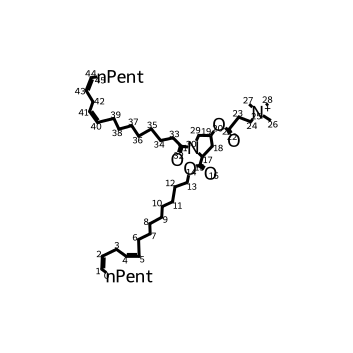 CCCCC/C=C\C/C=C\CCCCCCCCOC(=O)C1CC(OC(=O)CC[N+](C)(C)C)CN1C(=O)CCCCCCC/C=C\C/C=C\CCCCC